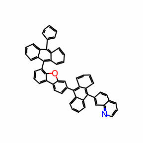 c1ccc(-c2c3ccccc3c(-c3cccc4c3oc3cc(-c5c6ccccc6c(-c6ccc7cccnc7c6)c6ccccc56)ccc34)c3ccccc23)cc1